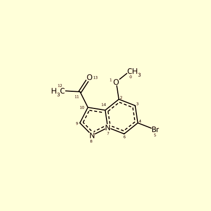 COc1cc(Br)cn2ncc(C(C)=O)c12